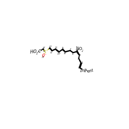 CCCCC/C=C/C/C=C(\CCCCCCCC[S+]([O-])CC(=O)O)[N+](=O)[O-]